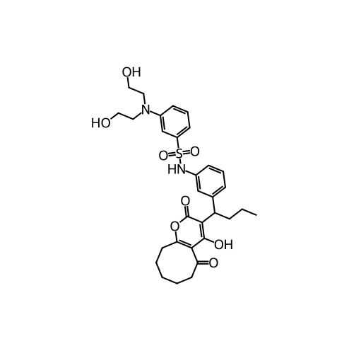 CCCC(c1cccc(NS(=O)(=O)c2cccc(N(CCO)CCO)c2)c1)c1c(O)c2c(oc1=O)CCCCCC2=O